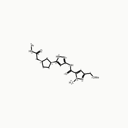 COCc1cc(C(=O)Nc2cc([C@H]3CC[C@@H](CC(=O)NC(C)C)C3)[nH]n2)n(C)n1